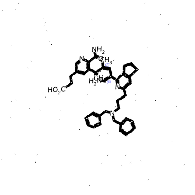 C=C(/C(C)=C\C(=C/N)c1nc(CCCN(Cc2ccccc2)Cc2ccccc2)cc2c1CCC2)c1cc(CCC(=O)O)cnc1C(N)=O